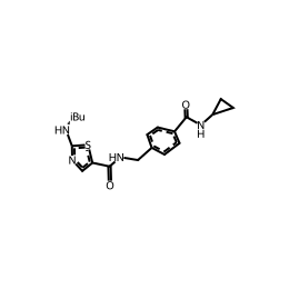 CC[C@@H](C)Nc1ncc(C(=O)NCc2ccc(C(=O)NC3CC3)cc2)s1